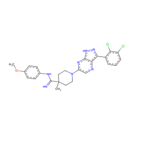 COc1ccc(NC(=N)C2(C)CCN(c3cnc4c(-c5cccc(Cl)c5Cl)n[nH]c4n3)CC2)cc1